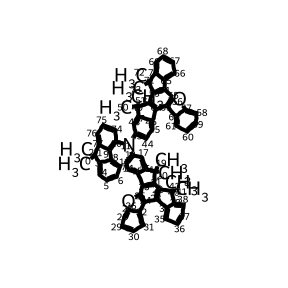 CC1(C)c2ccccc2-c2c(N(c3ccc4c(c3)C(C)(C)c3c5c(c6c(oc7ccccc76)c3-4)-c3ccccc3C5(C)C)c3ccc4c(c3)C(C)(C)c3c5c(c6oc7ccccc7c6c3-4)-c3ccccc3C5(C)C)cccc21